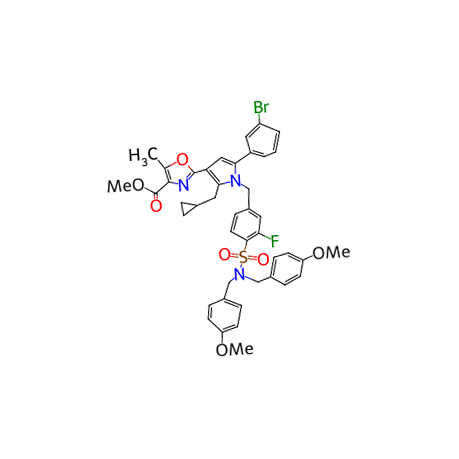 COC(=O)c1nc(-c2cc(-c3cccc(Br)c3)n(Cc3ccc(S(=O)(=O)N(Cc4ccc(OC)cc4)Cc4ccc(OC)cc4)c(F)c3)c2CC2CC2)oc1C